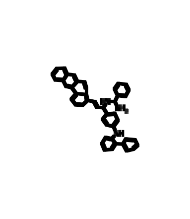 NC(NC(/C=C/c1cccc2c1ccc1cc3ccccc3cc12)c1ccc(Nc2ccccc2-c2ccccc2)cc1)c1ccccc1